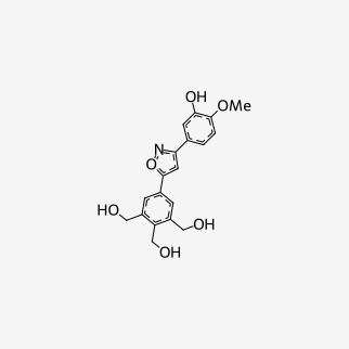 COc1ccc(-c2cc(-c3cc(CO)c(CO)c(CO)c3)on2)cc1O